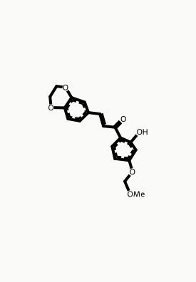 COCOc1ccc(C(=O)/C=C/c2ccc3c(c2)OCCO3)c(O)c1